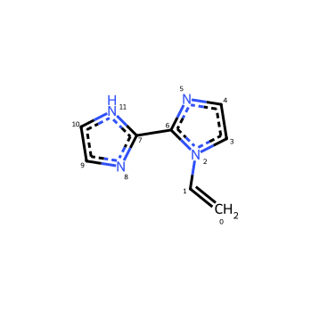 C=Cn1ccnc1-c1ncc[nH]1